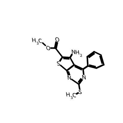 COC(=O)c1sc2nc(SC)nc(-c3ccccc3)c2c1N